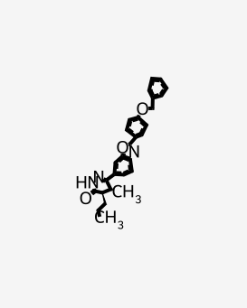 CCC[C@H]1C(=O)NN=C(c2ccc3nc(-c4ccc(OCc5ccccc5)cc4)oc3c2)[C@H]1C